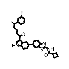 C[C@H](CCCC(=O)c1c[nH]c2ccc(-c3ccc4nc(NC(=O)C5CCC5)sc4c3)cc12)c1cccc(F)c1